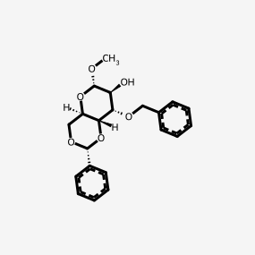 CO[C@H]1O[C@@H]2CO[C@@H](c3ccccc3)O[C@H]2[C@@H](OCc2ccccc2)[C@@H]1O